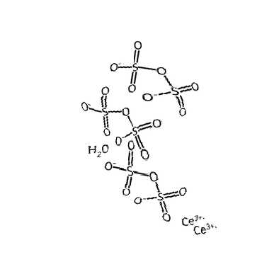 O.O=S(=O)([O-])OS(=O)(=O)[O-].O=S(=O)([O-])OS(=O)(=O)[O-].O=S(=O)([O-])OS(=O)(=O)[O-].[Ce+3].[Ce+3]